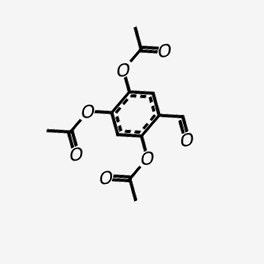 CC(=O)Oc1cc(OC(C)=O)c(OC(C)=O)cc1C=O